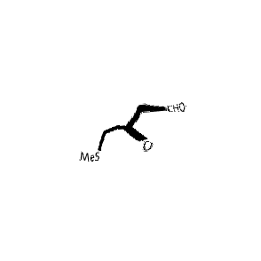 CSCC(=O)C[C]=O